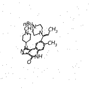 CC=C(c1cc2c(cc1C)[nH]c(=O)c1cnn(C3CCN(C)CC3)c12)N1CCN(CCCC)CC1